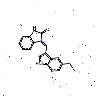 NCc1ccc2[nH]cc(/C=C3/C(=O)Nc4ccccc43)c2c1